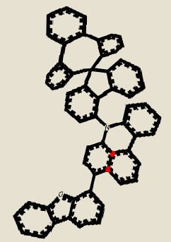 c1ccc(-c2ccccc2N(c2ccc(-c3cccc4c3oc3ccccc34)cc2)c2cccc3c2-c2ccccc2C32c3ccccc3-c3ccccc3-c3ccccc32)cc1